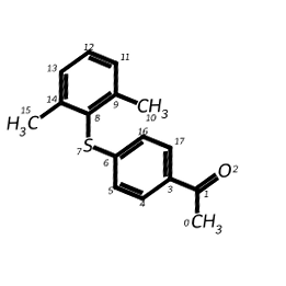 CC(=O)c1ccc(Sc2c(C)cccc2C)cc1